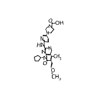 CCOC=Cc1c(C)c2cnc(Nc3ccc(N4CCN(C(=O)O)CC4)cn3)nc2n(C2CCCC2)c1=O